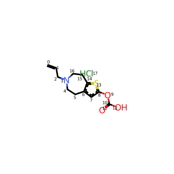 C=CCN1CCc2cc(OC(=O)O)sc2CC1.Cl